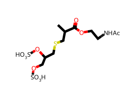 CC(=O)NCCOC(=O)C(C)CSCC(COS(=O)(=O)O)OS(=O)(=O)O